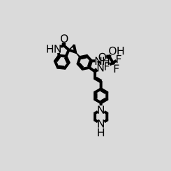 O=C(O)C(F)(F)F.O=C1Nc2ccccc2[C@]12C[C@H]2c1ccc2c(/C=C/c3ccc(N4CCNCC4)cc3)n[nH]c2c1